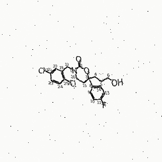 O=C1OC(CCCO)(c2ccc(F)cc2)CCN1Cc1cc(Cl)ccc1Cl